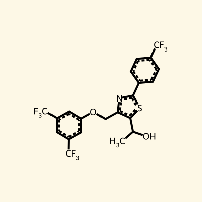 CC(O)c1sc(-c2ccc(C(F)(F)F)cc2)nc1COc1cc(C(F)(F)F)cc(C(F)(F)F)c1